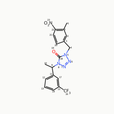 Cc1cc(Cn2nnn(C(C)c3cccc(C(F)(F)F)c3)c2=O)ccc1[N+](=O)[O-]